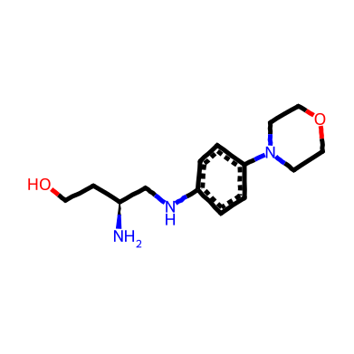 N[C@@H](CCO)CNc1ccc(N2CCOCC2)cc1